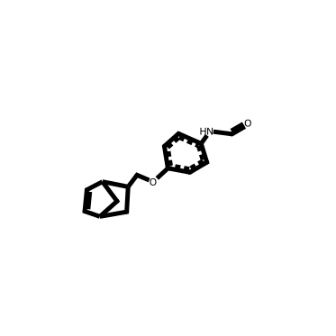 O=CNc1ccc(OCC2CC3C=CC2C3)cc1